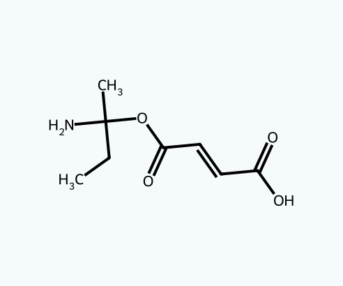 CCC(C)(N)OC(=O)/C=C/C(=O)O